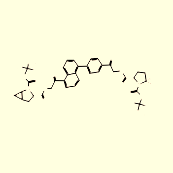 C[C@@H]1CC[C@@H](C(=O)OCC(=O)c2ccc(-c3cccc4c(C(=O)COC(=O)[C@@H]5CC6CC6N5C(=O)OC(C)(C)C)cccc34)cc2)N1C(=O)OC(C)(C)C